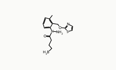 BCCCC(=O)N(N)c1cccc(C)c1COc1nccs1